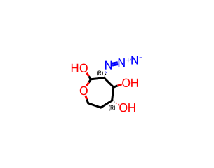 [N-]=[N+]=N[C@H]1C(O)OCC[C@@H](O)C1O